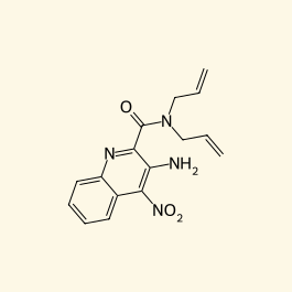 C=CCN(CC=C)C(=O)c1nc2ccccc2c([N+](=O)[O-])c1N